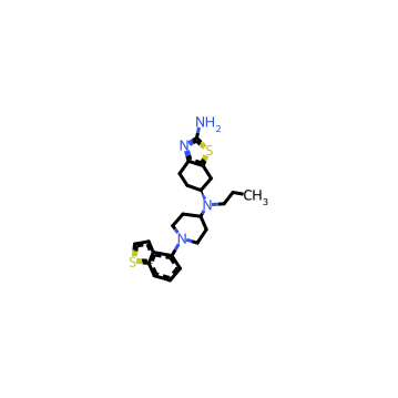 CCCN(C1CCN(c2cccc3sccc23)CC1)[C@H]1CCc2nc(N)sc2C1